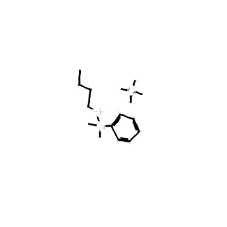 CCCCB[Si](C)(C)c1ccccc1.C[N+](C)(C)C